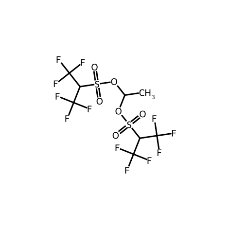 CC(OS(=O)(=O)C(C(F)(F)F)C(F)(F)F)OS(=O)(=O)C(C(F)(F)F)C(F)(F)F